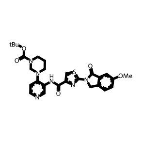 COc1ccc2c(c1)C(=O)N(c1nc(C(=O)Nc3cnccc3N3CCCN(C(=O)OC(C)(C)C)C3)cs1)C2